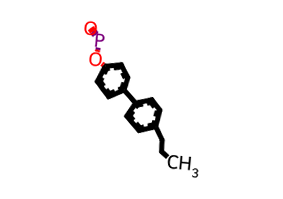 CCCc1ccc(-c2ccc(OP=O)cc2)cc1